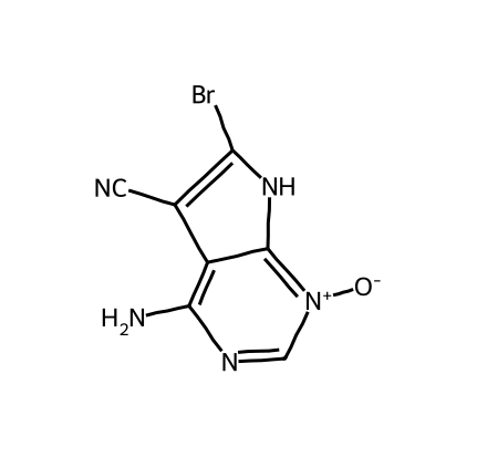 N#Cc1c(Br)[nH]c2c1c(N)nc[n+]2[O-]